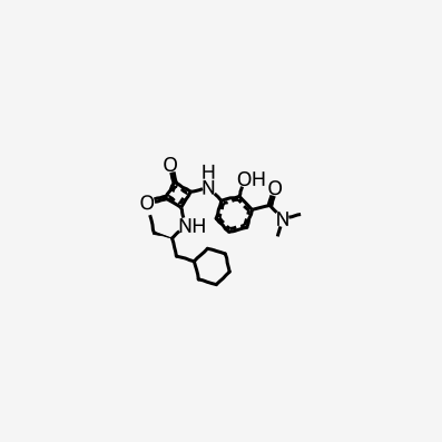 CC[C@H](CC1CCCCC1)Nc1c(Nc2cccc(C(=O)N(C)C)c2O)c(=O)c1=O